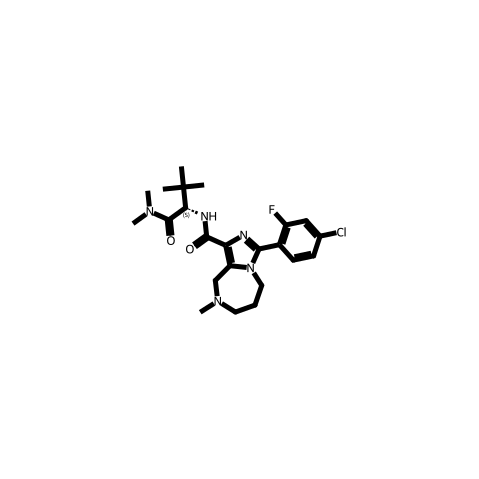 CN1CCCn2c(-c3ccc(Cl)cc3F)nc(C(=O)N[C@H](C(=O)N(C)C)C(C)(C)C)c2C1